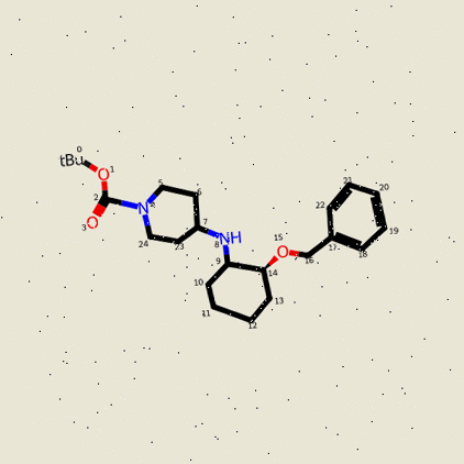 CC(C)(C)OC(=O)N1CCC(NC2CCCC[C@@H]2OCc2ccccc2)CC1